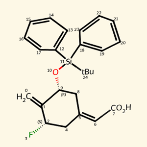 C=C1[C@@H](F)CC(=CC(=O)O)C[C@H]1O[Si](c1ccccc1)(c1ccccc1)C(C)(C)C